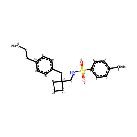 COc1ccc(S(=O)(=O)NCC2(Cc3ccc(CCSC)cc3)CCC2)cc1